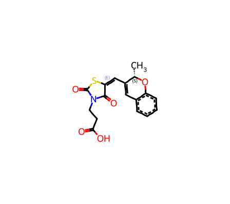 C[C@@H]1Oc2ccccc2C=C1/C=C1/SC(=O)N(CCC(=O)O)C1=O